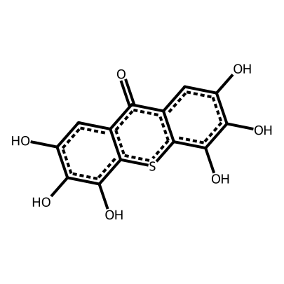 O=c1c2cc(O)c(O)c(O)c2sc2c(O)c(O)c(O)cc12